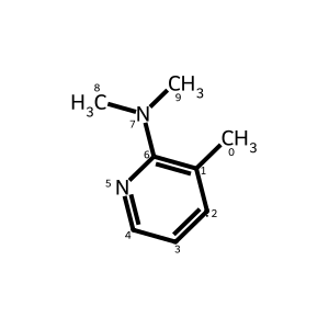 Cc1[c]ccnc1N(C)C